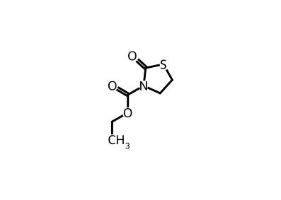 CCOC(=O)N1CCSC1=O